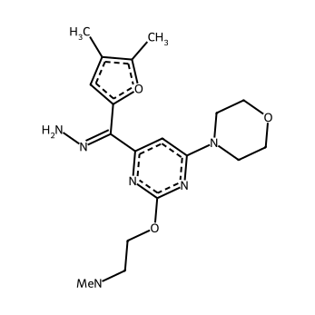 CNCCOc1nc(C(=NN)c2cc(C)c(C)o2)cc(N2CCOCC2)n1